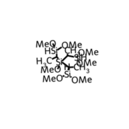 CO[SiH](OC)C(C)[Si](OC)(C(C)[SiH](OC)OC)C(C)[SiH](OC)OC